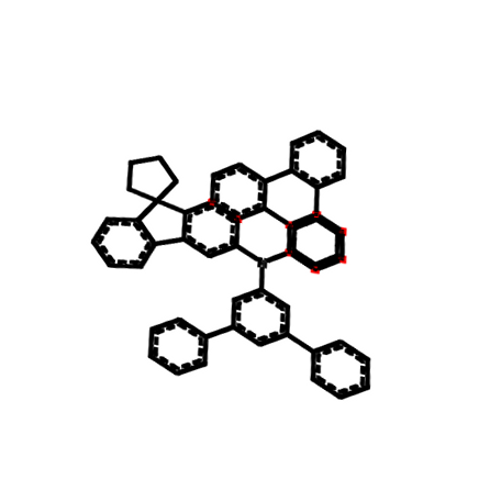 c1ccc(-c2cc(-c3ccccc3)cc(N(c3ccc4c(c3)-c3ccccc3C43CCCC3)c3ccccc3-c3ccccc3-c3ccccc3-c3ccccc3)c2)cc1